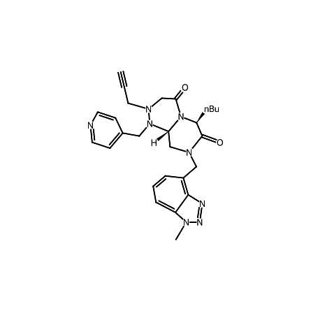 C#CCN1CC(=O)N2[C@@H](CCCC)C(=O)N(Cc3cccc4c3nnn4C)C[C@@H]2N1Cc1ccncc1